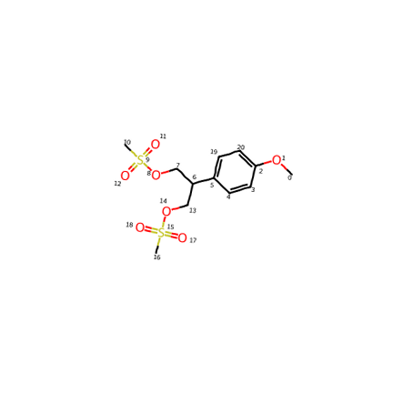 COc1ccc(C(COS(C)(=O)=O)COS(C)(=O)=O)cc1